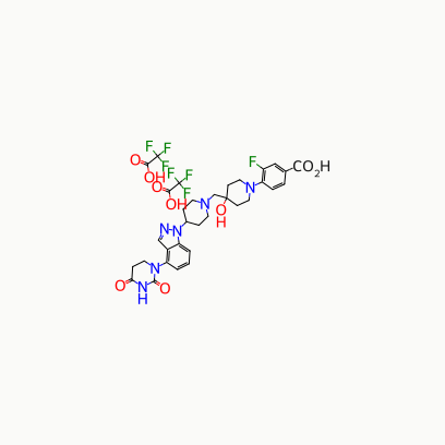 O=C(O)C(F)(F)F.O=C(O)C(F)(F)F.O=C1CCN(c2cccc3c2cnn3C2CCN(CC3(O)CCN(c4ccc(C(=O)O)cc4F)CC3)CC2)C(=O)N1